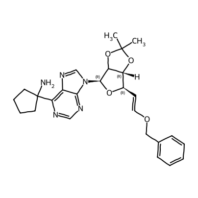 CC1(C)OC2[C@H](n3cnc4c(C5(N)CCCC5)ncnc43)O[C@H](C=COCc3ccccc3)[C@H]2O1